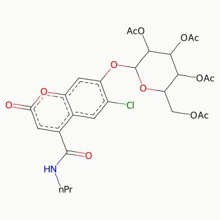 CCCNC(=O)c1cc(=O)oc2cc(OC3OC(COC(C)=O)C(OC(C)=O)C(OC(C)=O)C3OC(C)=O)c(Cl)cc12